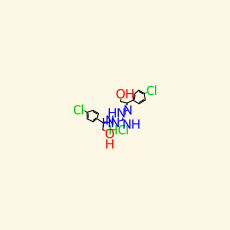 Cl.N=C(NN=C(CO)c1ccc(Cl)cc1)NN=C(CO)c1ccc(Cl)cc1